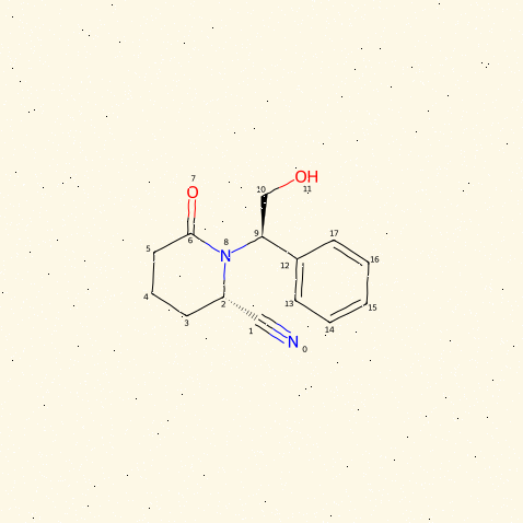 N#C[C@@H]1CCCC(=O)N1[C@@H](CO)c1ccccc1